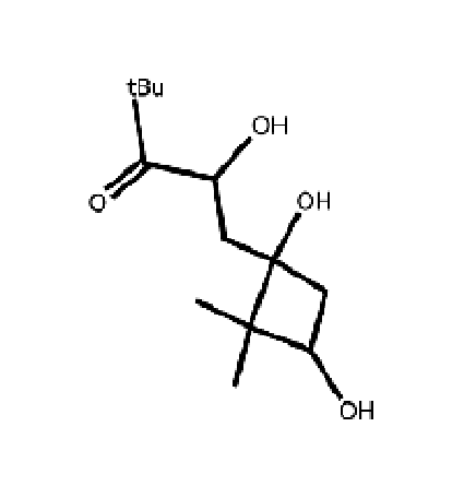 CC(C)(C)C(=O)C(O)CC1(O)CC(O)C1(C)C